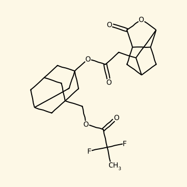 CC(F)(F)C(=O)OCC12CC3CC(C1)CC(OC(=O)CC1C4CC5C(=O)OC1C5C4)(C3)C2